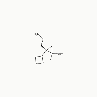 CCCC1(C)C[C@@]1(CCN)C1CCC1